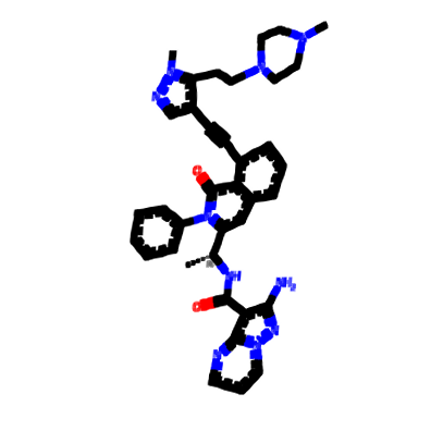 C[C@@H](NC(=O)c1c(N)nn2cccnc12)c1cc2cccc(C#Cc3cnn(C)c3CCN3CCN(C)CC3)c2c(=O)n1-c1ccccc1